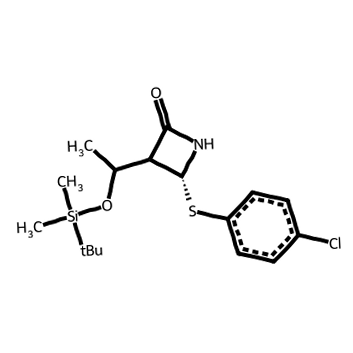 CC(O[Si](C)(C)C(C)(C)C)C1C(=O)N[C@@H]1Sc1ccc(Cl)cc1